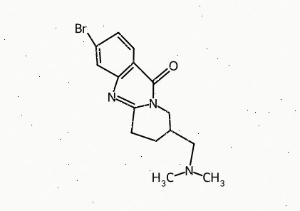 CN(C)CC1CCc2nc3cc(Br)ccc3c(=O)n2C1